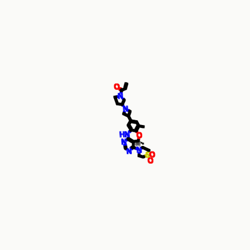 C=CC(=O)N1CCC(N2CC(c3cc(C)c4c(c3)Nc3ncnc(N5CCS(=O)(=O)CC5)c3[C@@H](C)O4)C2)C1